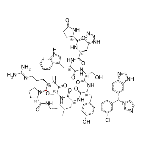 CCNC(=O)[C@@H]1CCCN1C(=O)[C@@H](CCCN=C(N)N)NC(=O)[C@@H](CC(C)C)NC(=O)[C@@H](CC(C)C)NC(=O)[C@@H](Cc1ccc(O)cc1)NC(=O)[C@@H](CO)NC(=O)[C@H](Cc1c[nH]c2ccccc12)NC(=O)[C@H](Cc1cnc[nH]1)NC(=O)[C@H]1CCC(=O)N1.Clc1cccc(C(c2ccc3nc[nH]c3c2)n2ccnc2)c1